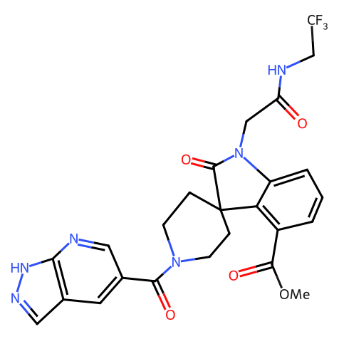 COC(=O)c1cccc2c1C1(CCN(C(=O)c3cnc4[nH]ncc4c3)CC1)C(=O)N2CC(=O)NCC(F)(F)F